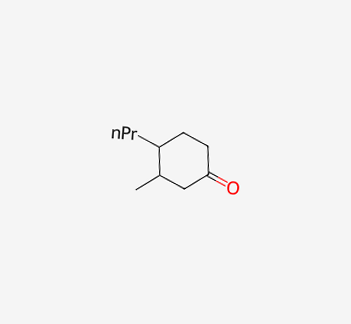 CCCC1CCC(=O)CC1C